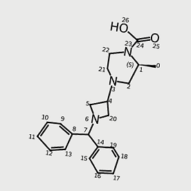 C[C@H]1CN(C2CN(C(c3ccccc3)c3ccccc3)C2)CCN1C(=O)O